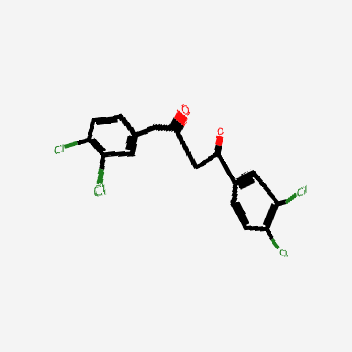 O=C(CC(=O)c1ccc(Cl)c(Cl)c1)c1ccc(Cl)c(Cl)c1